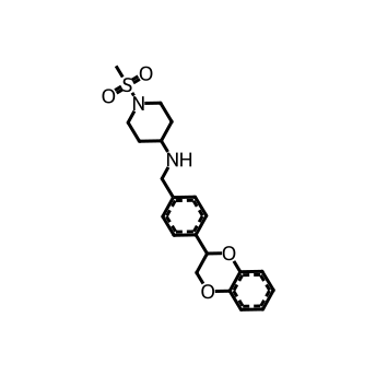 CS(=O)(=O)N1CCC(NCc2ccc(C3COc4ccccc4O3)cc2)CC1